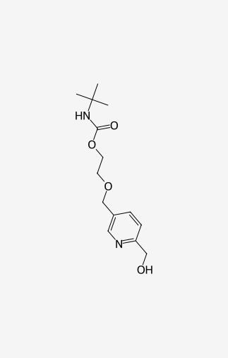 CC(C)(C)NC(=O)OCCOCc1ccc(CO)nc1